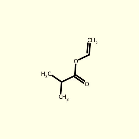 C=COC(=O)C(C)C